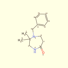 CC1(C)CNC(=O)CCN1Cc1ccccc1